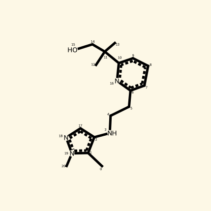 Cc1c(NCCc2cccc(C(C)(C)CO)n2)cnn1C